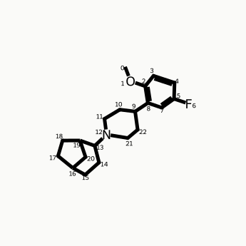 COc1ccc(F)cc1C1CCN(C2CCC3CCC2C3)CC1